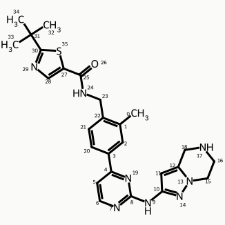 Cc1cc(-c2ccnc(Nc3cc4n(n3)CCNC4)n2)ccc1CNC(=O)c1cnc(C(C)(C)C)s1